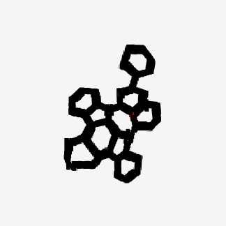 c1ccc(-c2cncc(-n3c4ccccc4c4c5ncncc5c5c6ccccc6n(-c6ccccc6)c5c43)n2)cc1